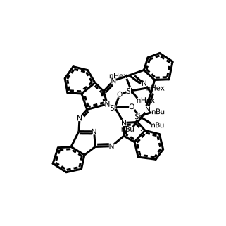 CCCCCC[Si](CCCCCC)(CCCCCC)O[Si]1(O[Si](CCCC)(CCCC)CCCC)n2c3c4ccccc4c2/N=C2N=C(/N=c4/c5ccccc5/c(n41)=N/C1=NC(=N\3)/c3ccccc31)c1ccccc1\2